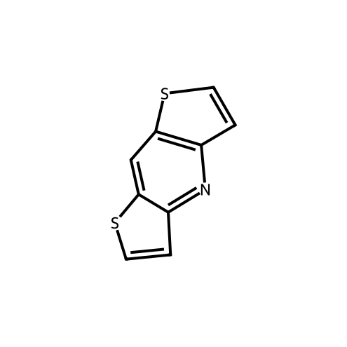 c1cc2nc3ccsc3cc2s1